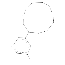 Fc1cncc(C2CCCCCCCCCC2)c1